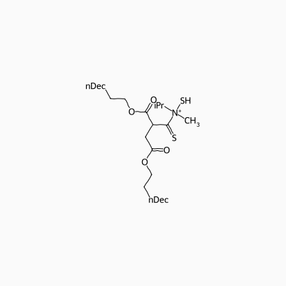 CCCCCCCCCCCCOC(=O)CC(C(=O)OCCCCCCCCCCCC)C(=S)[N+](C)(S)C(C)C